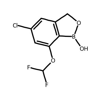 OB1OCc2cc(Cl)cc(OC(F)F)c21